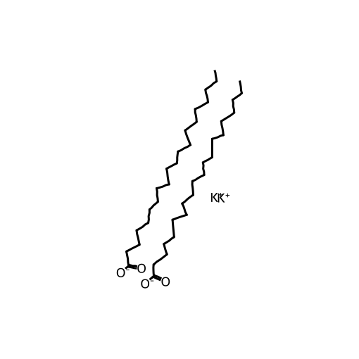 CCCCCCCCCCCCCCCCCCCC(=O)[O-].CCCCCCCCCCCCCCCCCCCC(=O)[O-].[K+].[K+]